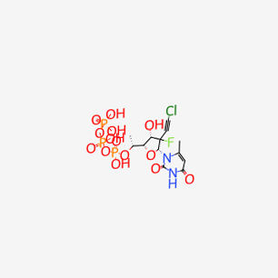 Cc1cc(=O)[nH]c(=O)n1[C@@H]1O[C@H]([C@@H](C)OP(=O)(O)OP(=O)(O)OP(=O)(O)O)[C@H](O)C1(F)C#CCl